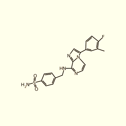 Cc1cc(-c2cnc3c(NCc4ccc(S(N)(=O)=O)cc4)nccn23)ccc1F